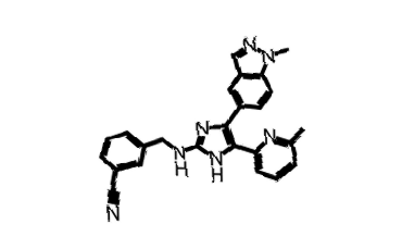 Cc1cccc(-c2[nH]c(NCc3cccc(C#N)c3)nc2-c2ccc3c(cnn3C)c2)n1